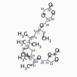 C=C/C(=C\C=C(/C)C(C)(C)C(=CC)C[C@H](C)/C(=C\C)OCC1COC(=O)O1)OCC1COC(=O)CO1